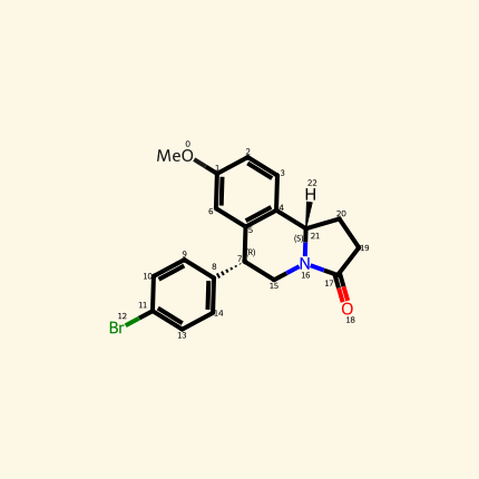 COc1ccc2c(c1)[C@@H](c1ccc(Br)cc1)CN1C(=O)CC[C@@H]21